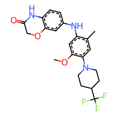 COc1cc(Nc2ccc3c(c2)OCC(=O)N3)c(C)cc1N1CCC(C(F)(F)F)CC1